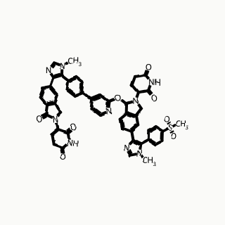 Cn1cnc(-c2ccc3c(c2)CN(C2CCC(=O)NC2=O)C3=O)c1-c1ccc(-c2ccnc(OC3c4ccc(-c5ncn(C)c5-c5ccc(S(C)(=O)=O)cc5)cc4CN3C3CCC(=O)NC3=O)c2)cc1